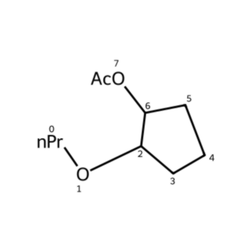 CCCOC1CCCC1OC(C)=O